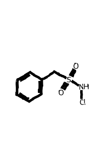 O=S(=O)(Cc1ccccc1)NCl